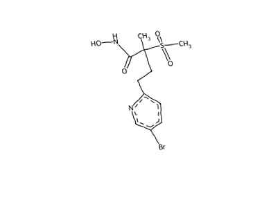 CC(CCc1ccc(Br)cn1)(C(=O)NO)S(C)(=O)=O